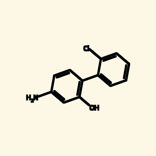 Nc1ccc(-c2ccccc2Cl)c(O)c1